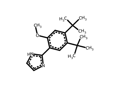 COc1cc(C(C)(C)C)c(C(C)(C)C)cc1-c1ncc[nH]1